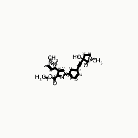 CCOC(=O)c1nn(-c2cccc(C#C[C@]3(O)CCN(C)C3=O)c2)cc1-c1ccn(C)n1